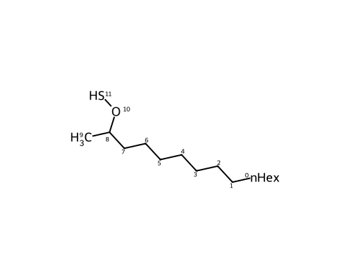 CCCCCCCCCCCCCC(C)OS